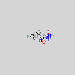 CCNC(=O)c1cc2c(-c3ccccc3Oc3c(C)cc(F)cc3C)cn(C)c(=O)c2[nH]1